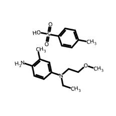 CCN(CCOC)c1ccc(N)c(C)c1.Cc1ccc(S(=O)(=O)O)cc1